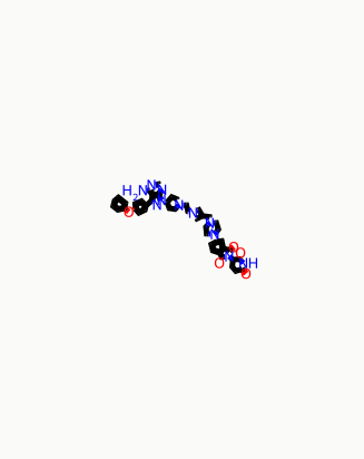 Nc1ncnc2c1c(-c1ccc(Oc3ccccc3)cc1)nn2C1CCN(CCN2CC(CN3CCN(c4ccc5c(c4)C(=O)N(C4CCC(=O)NC4=O)C5=O)CC3)C2)CC1